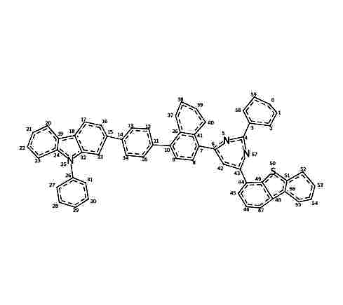 c1ccc(-c2nc(-c3ccc(-c4ccc(-c5ccc6c7ccccc7n(-c7ccccc7)c6c5)cc4)c4ccccc34)cc(-c3cccc4c3sc3ccccc34)n2)cc1